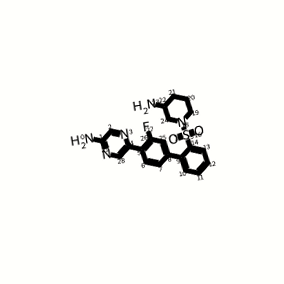 Nc1cnc(-c2ccc(-c3ccccc3S(=O)(=O)N3CCCC(N)C3)cc2F)cn1